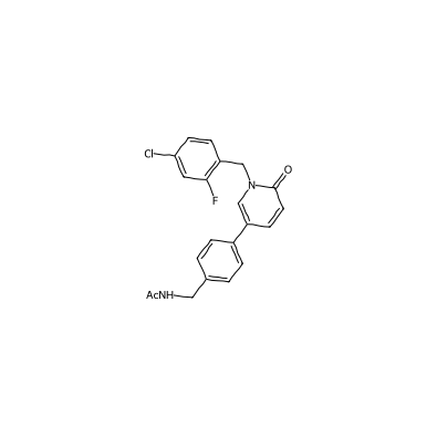 CC(=O)NCc1ccc(-c2ccc(=O)n(Cc3ccc(Cl)cc3F)c2)cc1